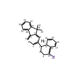 C=C1/C(=C\C(=C/C)C2CCC(I)=C3C=CC=C[C@@H]32)C(C)(C)c2ccccc21